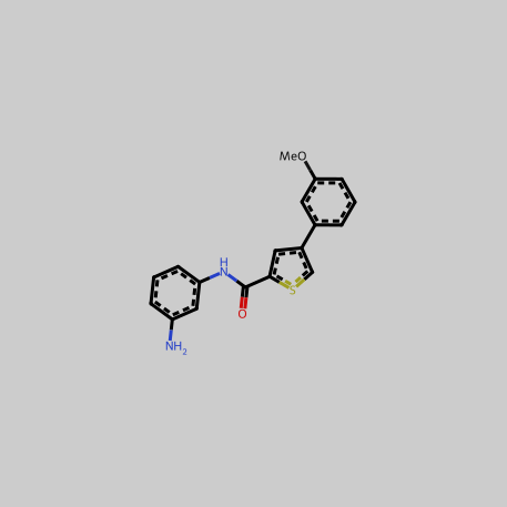 COc1cccc(-c2csc(C(=O)Nc3cccc(N)c3)c2)c1